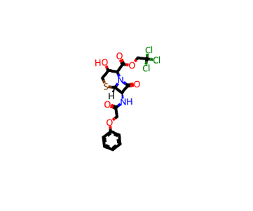 O=C(COc1ccccc1)N[C@@H]1C(=O)N2C(C(=O)OCC(Cl)(Cl)Cl)C(O)CS[C@@H]12